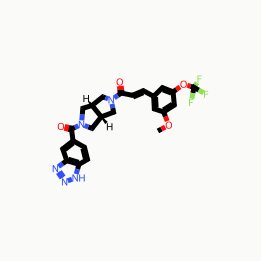 COc1cc(/C=C/C(=O)N2C[C@@H]3CN(C(=O)c4ccc5[nH]nnc5c4)C[C@H]3C2)cc(OC(F)(F)F)c1